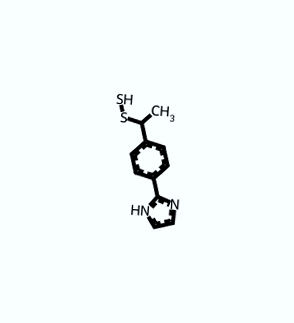 CC(SS)c1ccc(-c2ncc[nH]2)cc1